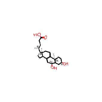 C[C@H](CCC(=O)O)[C@H]1CCC2C3C[C@H](O)C4C[C@H](O)CC[C@]4(C)C3CC[C@@]21C